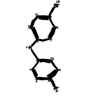 Brc1ccc([N]c2ccc(Br)cc2)cc1